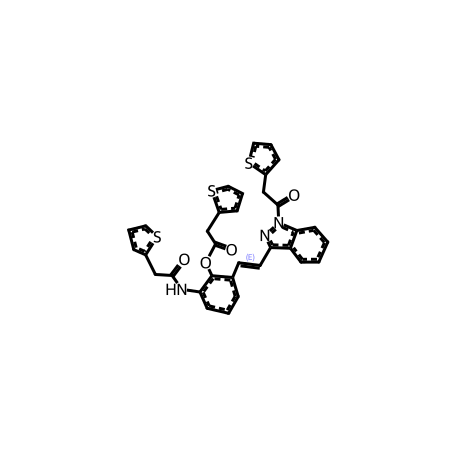 O=C(Cc1cccs1)Nc1cccc(/C=C/c2nn(C(=O)Cc3cccs3)c3ccccc23)c1OC(=O)Cc1cccs1